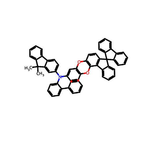 CC1(C)c2ccccc2-c2ccc(N(c3ccc4c(c3)Oc3ccc5c(c3O4)-c3ccccc3C53c4ccccc4-c4ccccc43)c3ccccc3-c3ccccc3)cc21